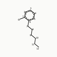 [CH2]c1ccccc1CCCCCC